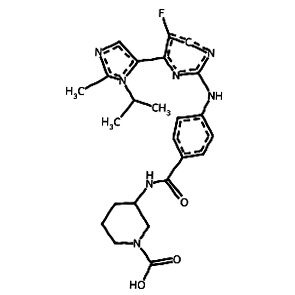 Cc1ncc(-c2nc(Nc3ccc(C(=O)NC4CCCN(C(=O)O)C4)cc3)ncc2F)n1C(C)C